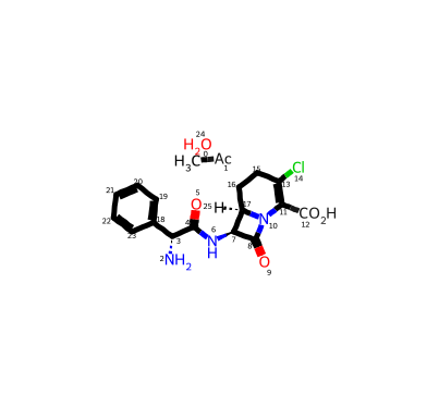 CC(C)=O.N[C@@H](C(=O)N[C@@H]1C(=O)N2C(C(=O)O)=C(Cl)CC[C@H]12)c1ccccc1.O